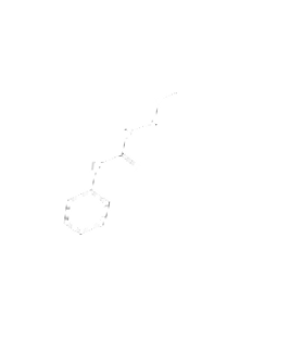 CCONNC(=O)Nc1ccccc1